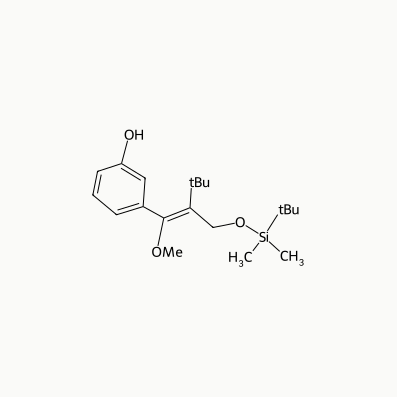 CO/C(=C(\CO[Si](C)(C)C(C)(C)C)C(C)(C)C)c1cccc(O)c1